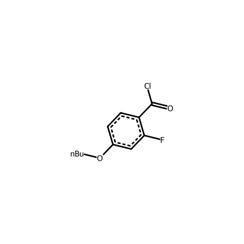 CCCCOc1ccc(C(=O)Cl)c(F)c1